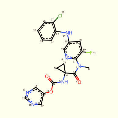 CN(C(=O)C1(NC(=O)Oc2cncnc2)CC1)c1ncc(Nc2ccccc2Cl)cc1F